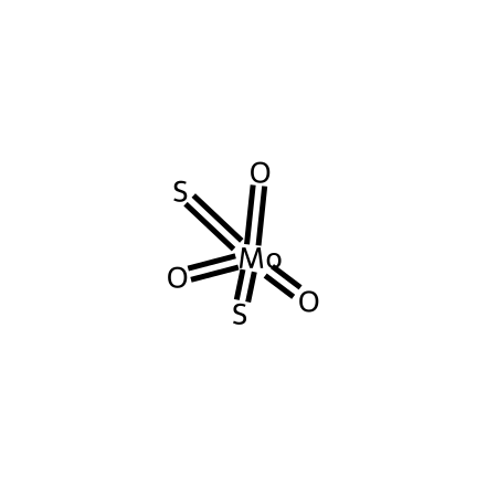 [O]=[Mo](=[O])(=[O])(=[S])=[S]